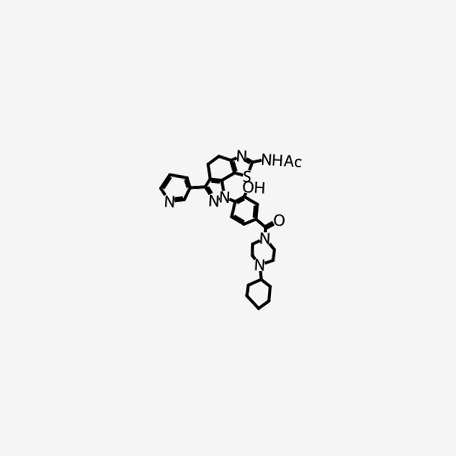 CC(=O)Nc1nc2c(s1)-c1c(c(-c3cccnc3)nn1-c1ccc(C(=O)N3CCN(C4CCCCC4)CC3)cc1O)CC2